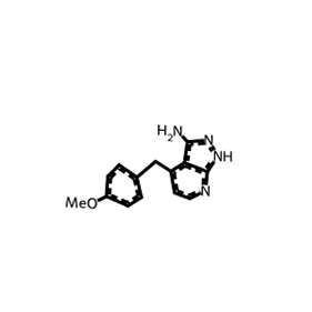 COc1ccc(Cc2ccnc3[nH]nc(N)c23)cc1